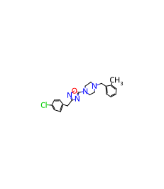 Cc1ccccc1CN1CCN(c2nc(Cc3ccc(Cl)cc3)no2)CC1